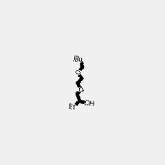 CCC(C)COCCOCC(O)CC